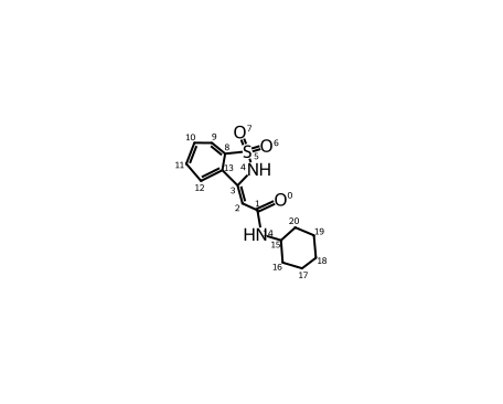 O=C(C=C1NS(=O)(=O)c2ccccc21)NC1CCCCC1